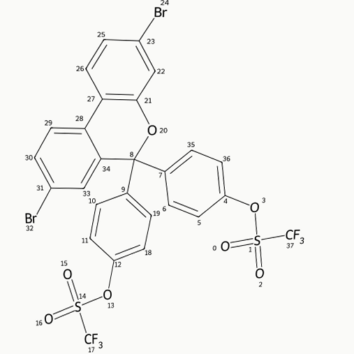 O=S(=O)(Oc1ccc(C2(c3ccc(OS(=O)(=O)C(F)(F)F)cc3)Oc3cc(Br)ccc3-c3ccc(Br)cc32)cc1)C(F)(F)F